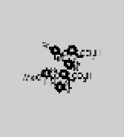 COc1ccc(Br)c(C(=O)Nc2ccc3ncn(C(CC(=O)O)c4ccccc4)c3c2)c1.Cc1cc(Br)ccc1C(=O)Nc1ccc2ncn(C(CC(=O)O)c3ccccc3)c2c1